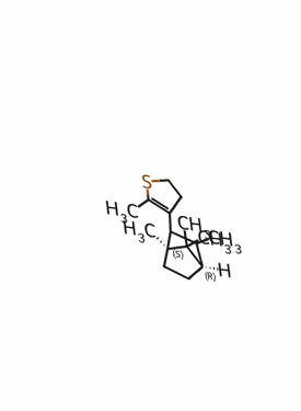 CC1=C(C2C(C)[C@H]3CC[C@]2(C)C3(C)C)CCS1